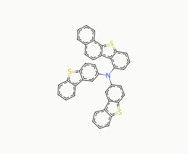 c1ccc2c(c1)ccc1c2sc2cccc(N(c3ccc4sc5ccccc5c4c3)c3ccc4sc5ccccc5c4c3)c21